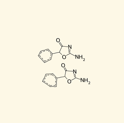 NC1=NC(=O)C(c2ccccc2)O1.NC1=NC(=O)C(c2ccccc2)O1